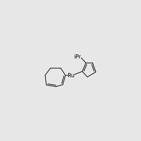 CC(C)C1=[C]([Ru][C]2=CC=CCCC2)CC=C1